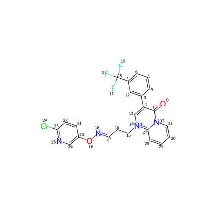 O=c1c(-c2cccc(C(F)(F)F)c2)c[n+](CCC=NOc2ccc(Cl)nc2)c2ccccn12